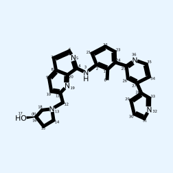 Cc1c(Nc2nccc3ccc(CN4CC[C@@H](O)C4)nc23)cccc1-c1cc(-c2cccnc2)ccn1